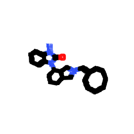 O=c1[nH]c2ccccc2n1C1CCCC2CN(CC3CCCCCCC3)CC21